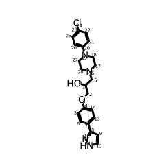 OC(COc1ccc(-c2cc[nH]n2)cc1)CN1CCN(c2ccc(Cl)cc2)CC1